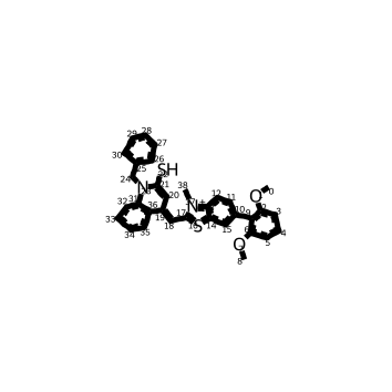 COc1cccc(OC)c1-c1ccc2c(c1)sc(C=C1C=C(S)N(Cc3ccccc3)c3ccccc31)[n+]2C